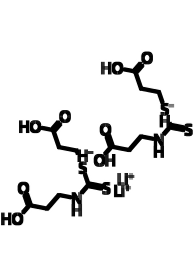 O=C(O)CCNC(=S)[SH-]CCC(=O)O.O=C(O)CCNC(=S)[SH-]CCC(=O)O.[Li+].[Li+]